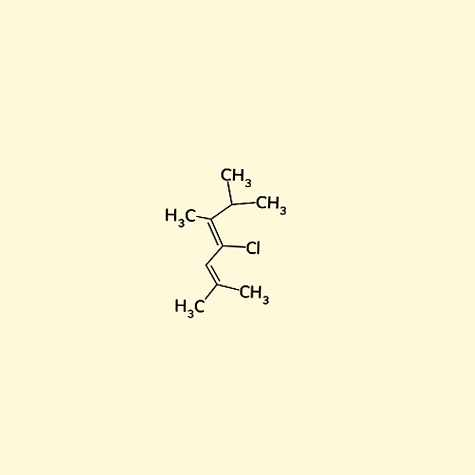 CC(C)=C/C(Cl)=C(\C)C(C)C